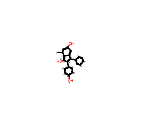 CC1C=C(O)C=C2C(c3ccccc3)=C(c3ccc(O)cc3)C(O)=C21